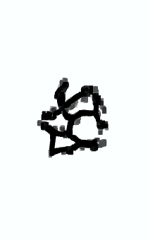 NC(O)C(N1C(=O)CSC1=S)P(=O)(O)O